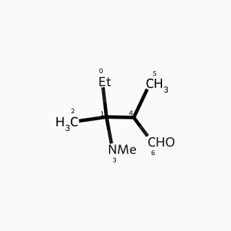 CCC(C)(NC)C(C)C=O